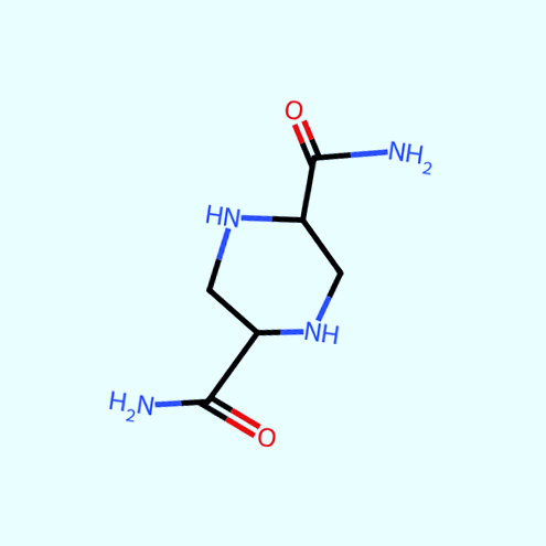 NC(=O)C1CNC(C(N)=O)CN1